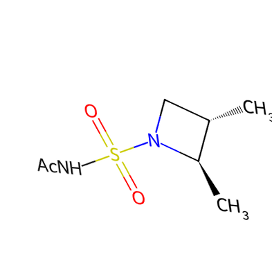 CC(=O)NS(=O)(=O)N1C[C@H](C)[C@H]1C